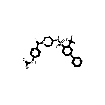 O=C(O)Nc1ccc(C(=O)N2CCC(NS(=O)(=O)c3ccc(-c4ccccc4)cc3C(F)(F)F)CC2)cc1